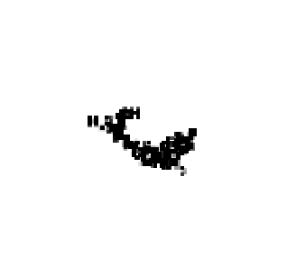 CCN(CCO)CCCCO[C@H]1CC[C@H](N(C)C(=O)Oc2ccc(F)cc2F)CC1